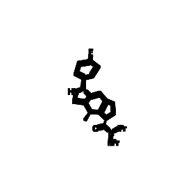 CCCN(C(=O)[C@H]1CCC2=C1[C@@H](C)C1=CNN(c3ccc(F)cc3)C1=C2)C(C)C